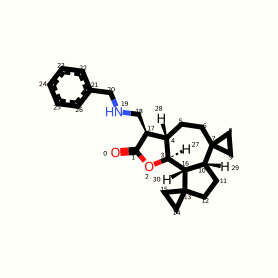 O=C1O[C@H]2[C@@H](CCC3(CC3)[C@@H]3CCC4(CC4)[C@H]23)[C@@H]1CNCc1ccccc1